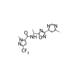 Cc1cc(-c2noc(C(C)NC(=O)c3cc(C(F)(F)F)nn3C)n2)ncn1